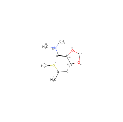 CSC(C)C[C@H]1OCO[C@@H]1CN(C)C